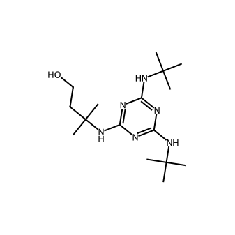 CC(C)(C)Nc1nc(NC(C)(C)C)nc(NC(C)(C)CCO)n1